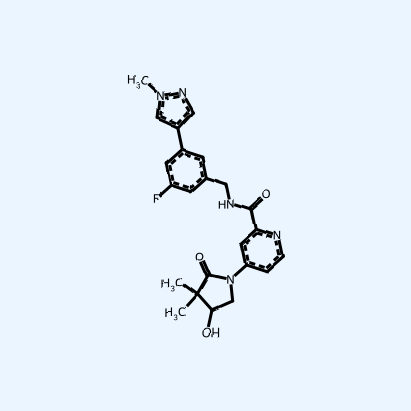 Cn1cc(-c2cc(F)cc(CNC(=O)c3cc(N4CC(O)C(C)(C)C4=O)ccn3)c2)cn1